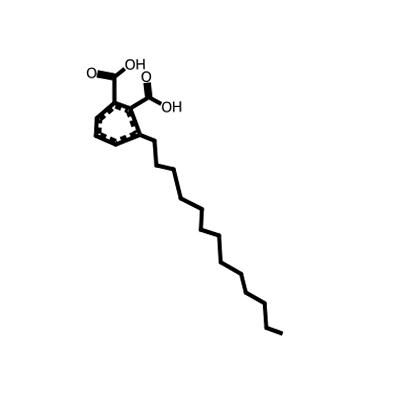 CCCCCCCCCCCCCc1cccc(C(=O)O)c1C(=O)O